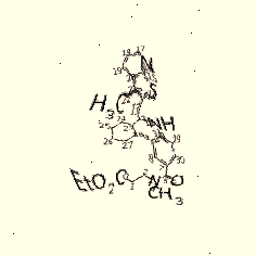 CCOC(=O)CCN(C)C(=O)c1ccc(NC(c2sc3ncccc3c2C)C2CCCCC2)cc1